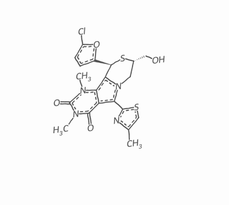 Cc1csc(-c2c3c(=O)n(C)c(=O)n(C)c3c3n2C[C@@H](CO)S[C@@H]3c2ccc(Cl)o2)n1